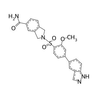 COc1cc(-c2ccc3[nH]ncc3c2)ccc1S(=O)(=O)N1Cc2ccc(C(N)=O)cc2C1